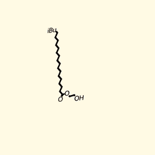 CCC(C)CCCCCCCCCCCCCCCCC(=O)OCCO